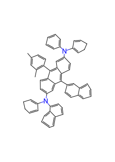 Cc1ccc(-c2c3ccc(N(C4=CCCC=C4)c4cccc5ccccc45)cc3c(-c3ccc4ccccc4c3)c3ccc(N(C4=CCCC=C4)c4ccccc4)cc23)c(C)c1